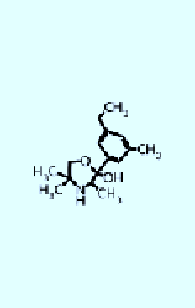 CCc1cc(C)cc(C2(O)OCC(C)(C)NC2C)c1